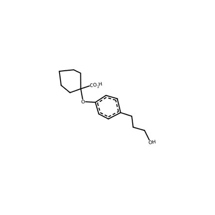 O=C(O)C1(Oc2ccc(CCCO)cc2)CCCCC1